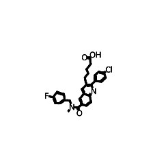 CN(Cc1ccc(F)cc1)C(=O)c1ccc2nc(-c3ccc(Cl)cc3)c(CCCCC(=O)O)cc2c1